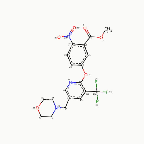 COC(=O)c1cc(Oc2ncc(CN3CCOCC3)cc2C(F)(F)F)ccc1[N+](=O)[O-]